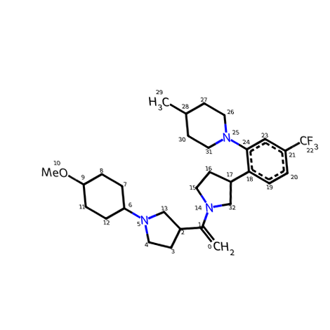 C=C(C1CCN(C2CCC(OC)CC2)C1)N1CCC(c2ccc(C(F)(F)F)cc2N2CCC(C)CC2)C1